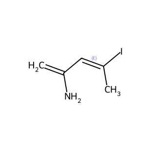 C=C(N)/C=C(\C)I